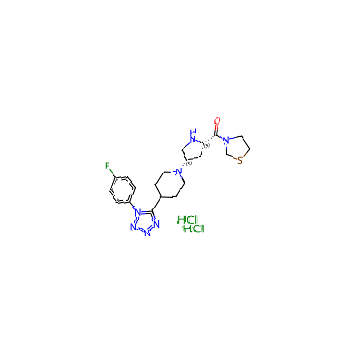 Cl.Cl.O=C([C@@H]1C[C@H](N2CCC(c3nnnn3-c3ccc(F)cc3)CC2)CN1)N1CCSC1